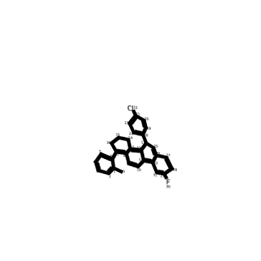 Cc1ccccc1C1=c2ccc3c(c2CCC1)C(c1ccc(Cl)cc1)C=c1ccc(F)cc1=3